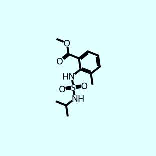 COC(=O)c1cccc(C)c1NS(=O)(=O)NC(C)C